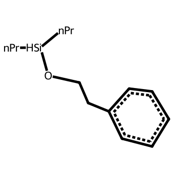 CCC[SiH](CCC)OCCc1ccccc1